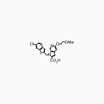 COCCOc1cc2cc(C(=O)O)n(Cc3cc4ccc(Cl)cc4s3)c2cn1